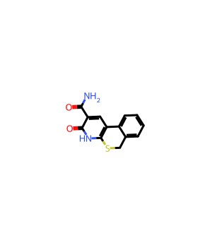 NC(=O)c1cc2c([nH]c1=O)SCc1ccccc1-2